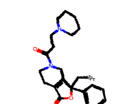 CC(C)CC1(c2ccccc2)OC(=O)C2=C1CN(C(=O)CCN1CCCCC1)CC2